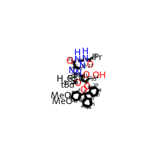 COC1(OC)C=CC(C(OO[C@H]2[C@@H](O[Si](C)(C)C(C)(C)C)[C@H](n3cnc4c(=O)[nH]c(NC(=O)C(C)C)nc43)O[C@@H]2CO)(c2ccccc2)c2ccccc2)=CC1